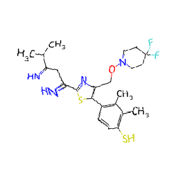 Cc1c(S)ccc(C2SC(C(=N)CC(=N)C(C)C)=NC2CON2CCC(F)(F)CC2)c1C